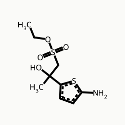 CCOS(=O)(=O)CC(C)(O)c1ccc(N)s1